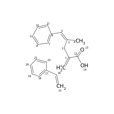 C=C(CC(C)=Cc1ccccc1)C(=O)O.C=Cc1ccccc1